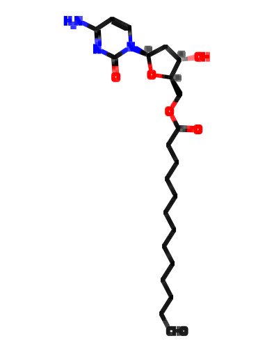 Nc1ccn([C@H]2C[C@H](O)[C@@H](COC(=O)CCCCCCCCCCCC=O)O2)c(=O)n1